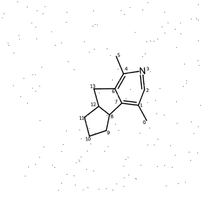 Cc1cnc(C)c2c1C1CCCC1C2